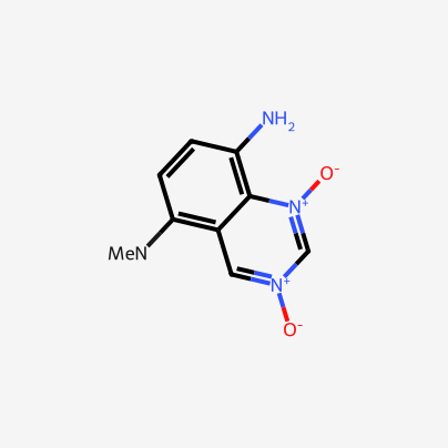 CNc1ccc(N)c2c1c[n+]([O-])c[n+]2[O-]